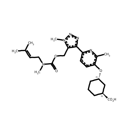 CC(C)=CCN(C)C(=O)OCc1c(-c2ccc(O[C@H]3CCC[C@H](C(=O)O)C3)c(C)n2)nnn1C